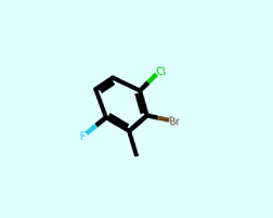 Cc1c(F)ccc(Cl)c1Br